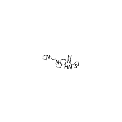 N=C(Nc1ccc2c(c1)CCCN2CCCN1CCCC1)C1CC=CS1